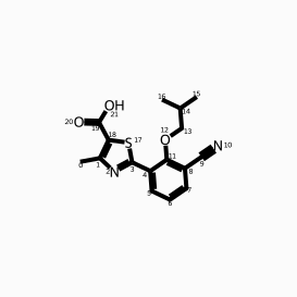 Cc1nc(-c2cccc(C#N)c2OCC(C)C)sc1C(=O)O